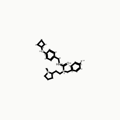 CN1CCCC1CCN(Cc1ccc(F)cc1)C(=O)NCc1ccc(OC2CCC2)cc1